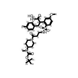 COc1ccc(S(=O)(=O)NCCC(=O)N2CCC(N(C)C(=O)OC(C)(C)C)CC2)c(C(Cc2ccc(F)cc2)C(=O)NO)c1